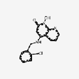 O=c1cc(NCc2ccccc2Cl)c2cccnc2n1O